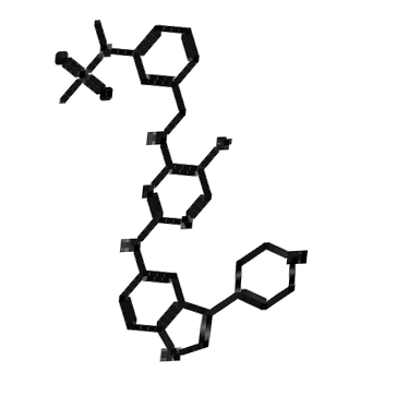 CN(c1cccc(CNc2nc(Nc3ccc4[nH]cc(C5=CCNCC5)c4c3)ncc2Br)c1)S(C)(=O)=O